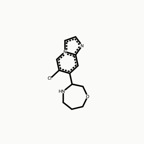 Clc1cn2ccnc2cc1C1COCCCN1